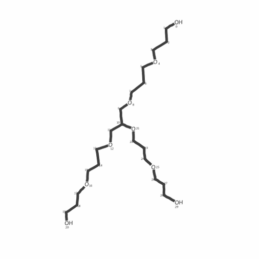 OCCCOCCCOCC(COCCCOCCCO)OCCCOCCCO